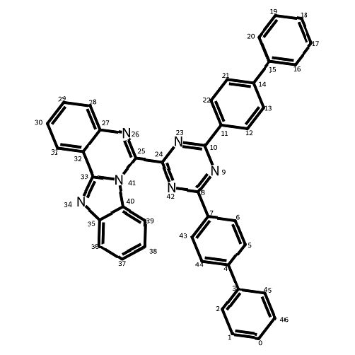 c1ccc(-c2ccc(-c3nc(-c4ccc(-c5ccccc5)cc4)nc(-c4nc5ccccc5c5nc6ccccc6n45)n3)cc2)cc1